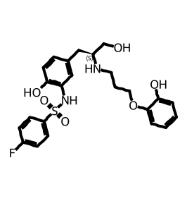 O=S(=O)(Nc1cc(C[C@@H](CO)NCCCOc2ccccc2O)ccc1O)c1ccc(F)cc1